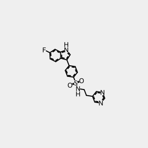 O=S(=O)(NCCc1cncnc1)c1ccc(-c2c[nH]c3cc(F)ccc23)cc1